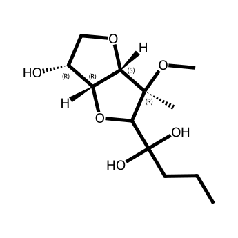 CCCC(O)(O)C1O[C@@H]2[C@H](O)CO[C@@H]2[C@@]1(C)OC